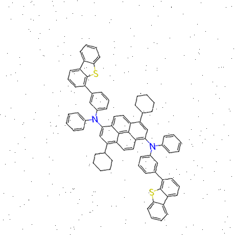 c1ccc(N(c2cccc(-c3cccc4c3sc3ccccc34)c2)c2cc(C3CCCCC3)c3ccc4c(N(c5ccccc5)c5cccc(-c6cccc7c6sc6ccccc67)c5)cc(C5CCCCC5)c5ccc2c3c54)cc1